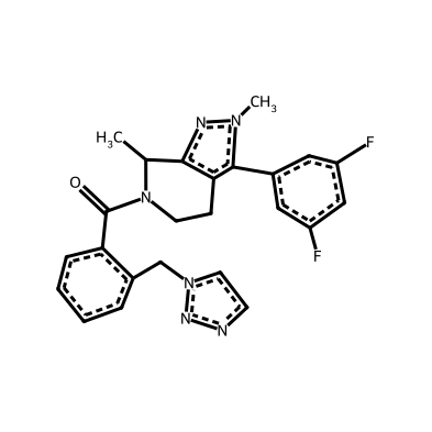 CC1c2nn(C)c(-c3cc(F)cc(F)c3)c2CCN1C(=O)c1ccccc1Cn1ccnn1